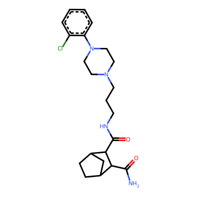 NC(=O)C1C2CCC(C2)C1C(=O)NCCCN1CCN(c2ccccc2Cl)CC1